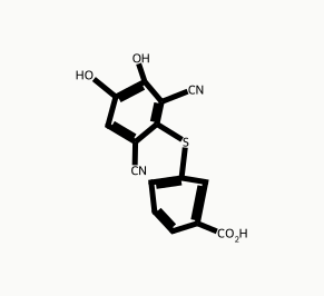 N#Cc1cc(O)c(O)c(C#N)c1Sc1cccc(C(=O)O)c1